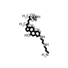 CC(C)C(CCC(C)C1CCC2C3C(O)CC4CC(NCCCNCCCCN)CCC4(C)C3CCC12C)OS(=O)(=O)O